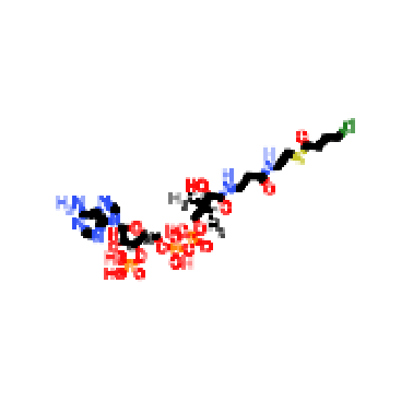 CC(C)(COP(=O)(O)OP(=O)(O)OC[C@H]1O[C@@H](n2cnc3c(N)ncnc32)[C@H](O)[C@@H]1OP(=O)(O)O)[C@@H](O)C(=O)NCCC(=O)NCCSC(=O)C=CCCl